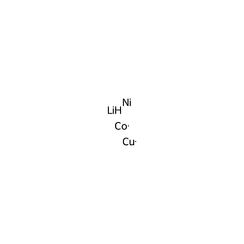 [Co].[Cu].[LiH].[Ni]